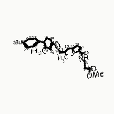 COC(=O)CCNC(=O)c1ccc(CC(C)COc2ccc(-c3ccc(C(C)(C)C)cc3)c(C)c2)s1